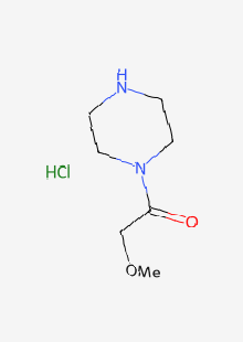 COCC(=O)N1CCNCC1.Cl